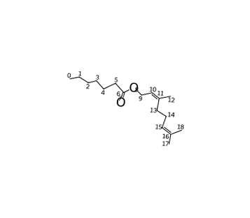 CCCCCCC(=O)OCC=C(C)CCC=C(C)C